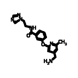 Cc1cc(CN)cc(Oc2cccc(C(=O)NCCn3cncn3)c2)n1